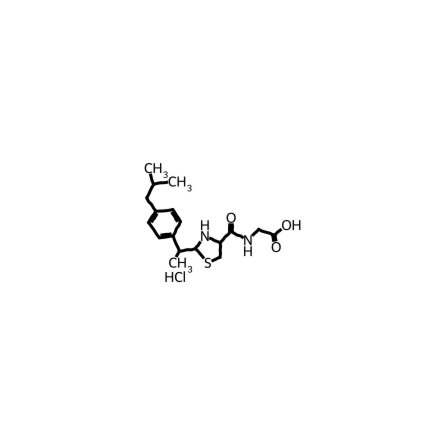 CC(C)Cc1ccc(C(C)C2NC(C(=O)NCC(=O)O)CS2)cc1.Cl